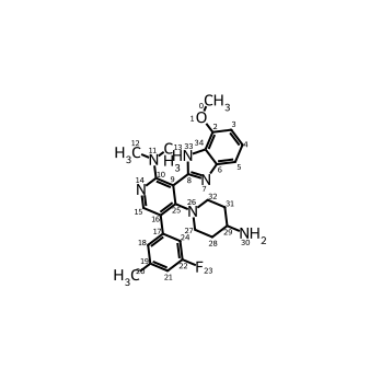 COc1cccc2nc(-c3c(N(C)C)ncc(-c4cc(C)cc(F)c4)c3N3CCC(N)CC3)[nH]c12